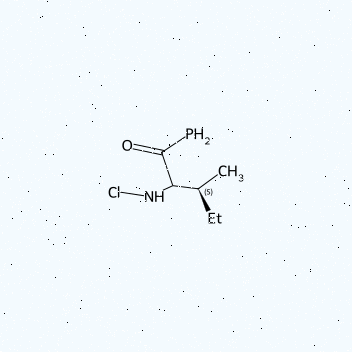 CC[C@H](C)C(NCl)C(=O)P